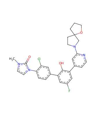 Cn1ccn(-c2ccc(-c3cc(F)cc(-c4ccnc(N5CCC6(CCCO6)C5)c4)c3O)cc2Cl)c1=O